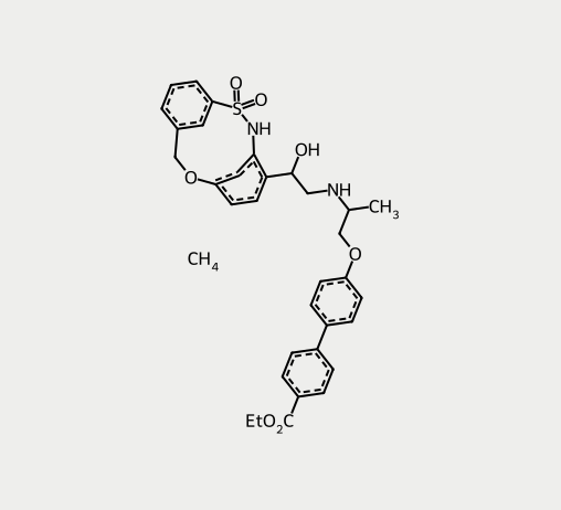 C.CCOC(=O)c1ccc(-c2ccc(OCC(C)NCC(O)c3ccc4cc3NS(=O)(=O)c3cccc(c3)CO4)cc2)cc1